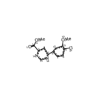 COC(=O)c1cc(-c2ccc(Cl)c(OC)c2)ncn1